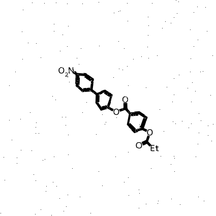 CCC(=O)Oc1ccc(C(=O)Oc2ccc(-c3ccc([N+](=O)[O-])cc3)cc2)cc1